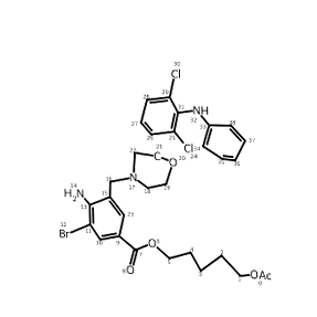 CC(=O)OCCCCCOC(=O)c1cc(Br)c(N)c(CN2CCOCC2)c1.Clc1cccc(Cl)c1Nc1ccccc1